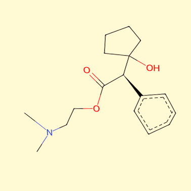 CN(C)CCOC(=O)[C@H](c1ccccc1)C1(O)CCCC1